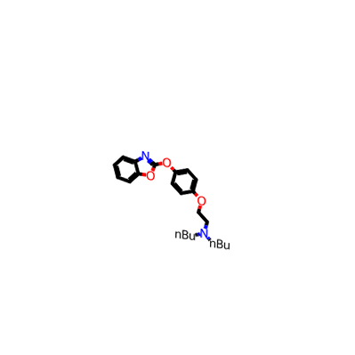 CCCCN(CCCC)CCOc1ccc(Oc2nc3ccccc3o2)cc1